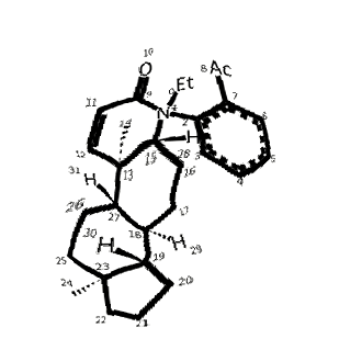 CC[N+]1(c2ccccc2C(C)=O)C(=O)C=C[C@@]2(C)[C@H]1CC[C@H]1[C@@H]3CCC[C@@]3(C)CC[C@@H]12